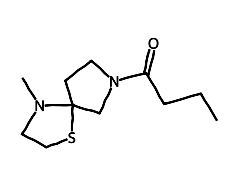 CCCC(=O)N1CCC2(C1)SCCN2C